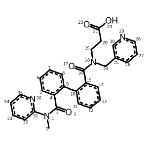 CN(C(=O)c1ccccc1-c1ccccc1C(=O)N(CCC(=O)O)Cc1cccnc1)c1ccccn1